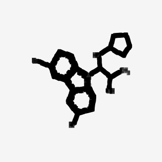 CC(O)C(NC1CCCC1)n1c2ccc(Br)cc2c2cc(Br)ccc21